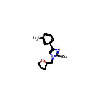 CC(C)(C)c1nc(-c2cccc([N+](=O)[O-])c2)cn1CC1CCCO1